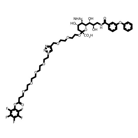 CC(=O)N[C@H]1[C@H]([C@H](O)[C@H](O)CNC(=O)c2cccc(Oc3ccccc3)c2)O[C@@](OCCOCCOCc2cn(CCOCCOCCOCCOCCC(=O)Oc3c(F)c(F)c(F)c(F)c3F)nn2)(C(=O)O)C[C@@H]1O